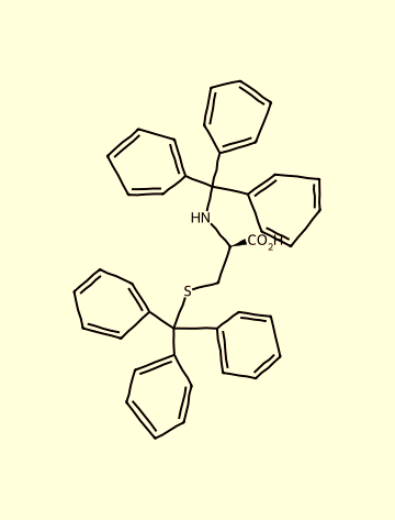 O=C(O)[C@@H](CSC(c1ccccc1)(c1ccccc1)c1ccccc1)NC(c1ccccc1)(c1ccccc1)c1ccccc1